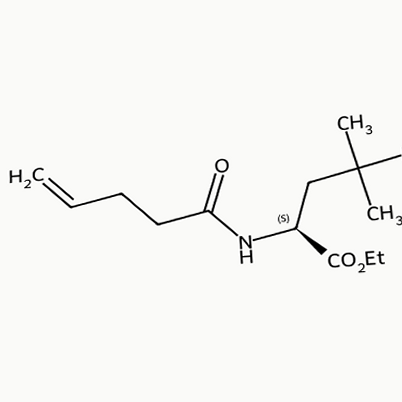 C=CCCC(=O)N[C@@H](CC(C)(C)F)C(=O)OCC